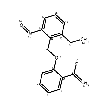 C=C(F)c1ccccc1OCc1c(CC)cccc1N=O